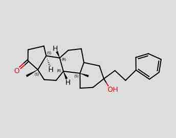 C[C@]12CCC(O)(CCc3ccccc3)CC1CC[C@@H]1[C@H]2CC[C@]2(C)C(=O)CC[C@@H]12